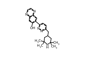 CC1(C)CC(Cc2ccc(-c3cc4nccnc4cc3O)nn2)CC(C)(C)N1